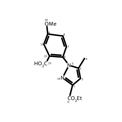 CCOC(=O)c1cc(C)n(-c2ccc(OC)cc2C(=O)O)n1